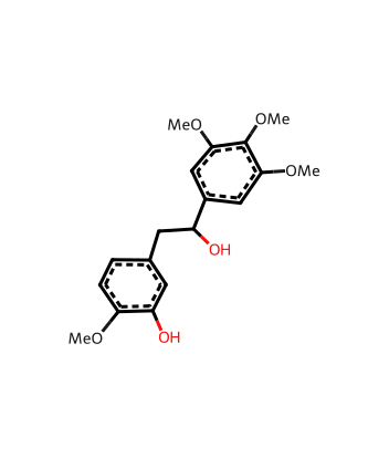 COc1ccc(CC(O)c2cc(OC)c(OC)c(OC)c2)cc1O